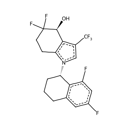 O[C@H]1c2c(C(F)(F)F)cn([C@H]3CCCc4cc(F)cc(F)c43)c2CCC1(F)F